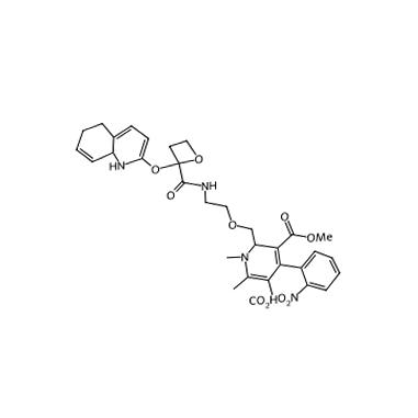 COC(=O)C1=C(c2ccccc2[N+](=O)[O-])C(C(=O)O)=C(C)N(C)C1COCCNC(=O)C1(OC2=CC=C3CCC=CC3N2)CCO1